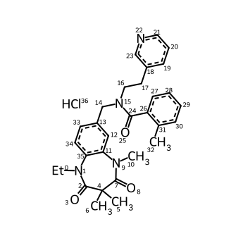 CCN1C(=O)C(C)(C)C(=O)N(C)c2cc(CN(CCc3cccnc3)C(=O)c3ccccc3C)ccc21.Cl